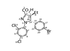 CC[C@@H]1C(C(=O)O)=NN(c2ccc(Cl)cc2Cl)[C@H]1c1ccc(Br)cc1